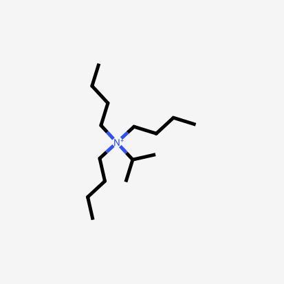 CCCC[N+](CCCC)(CCCC)C(C)C